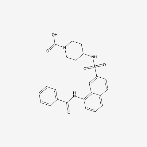 O=C(Nc1cccc2ccc(S(=O)(=O)NC3CCN(C(=O)O)CC3)cc12)c1ccccc1